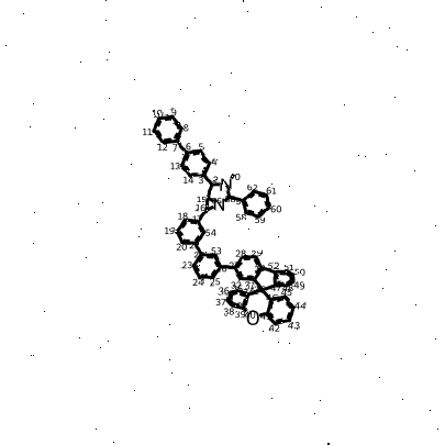 CN1C(c2ccc(-c3ccccc3)cc2)C2C(c3cccc(-c4cccc(-c5ccc6c(c5)C5(c7ccccc7Oc7ccccc75)c5ccccc5-6)c4)c3)N2C1c1ccccc1